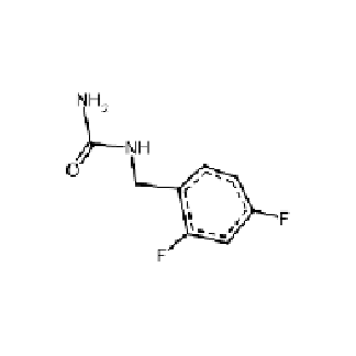 NC(=O)NCc1ccc(F)cc1F